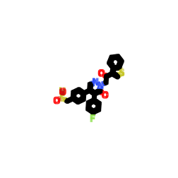 O=C(Cn1ncc(-c2ccc(C[SH](=O)=O)cc2)c(-c2ccc(F)cc2)c1=O)c1csc2ccccc12